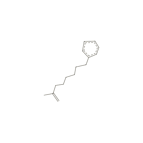 C=C(C)CCCCCCc1ccccc1